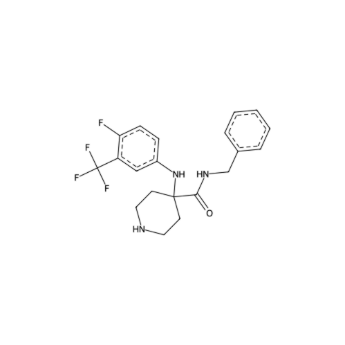 O=C(NCc1ccccc1)C1(Nc2ccc(F)c(C(F)(F)F)c2)CCNCC1